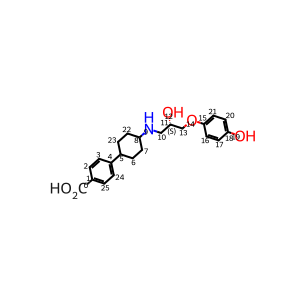 O=C(O)c1ccc(C2CCC(NC[C@H](O)COc3ccc(O)cc3)CC2)cc1